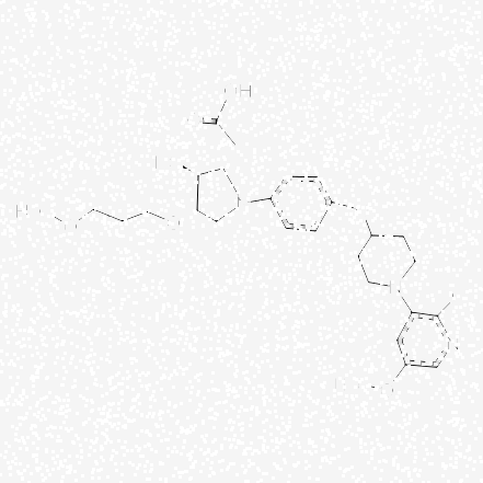 COCCCO[C@H]1CN(c2ccc(OC3CCN(c4cc(OC)cnc4Cl)CC3)cc2)[C@@H](CC(=O)O)[C@@H]1C